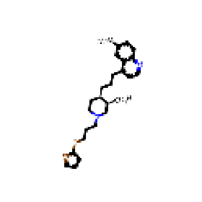 COc1ccc2nccc(CCC[C@@H]3CCN(CCCSc4cccs4)C[C@@H]3C(=O)O)c2c1